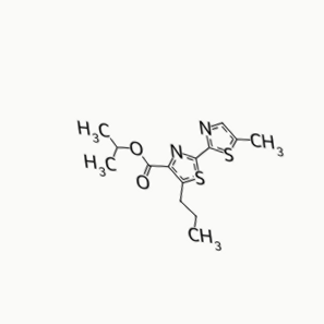 CCCc1sc(-c2ncc(C)s2)nc1C(=O)OC(C)C